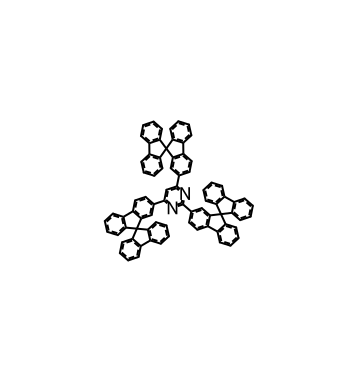 c1ccc2c(c1)-c1ccccc1C21c2ccccc2-c2ccc(-c3cc(-c4ccc5c(c4)C4(c6ccccc6-c6ccccc64)c4ccccc4-5)nc(-c4ccc5c(c4)C4(c6ccccc6-c6ccccc64)c4ccccc4-5)n3)cc21